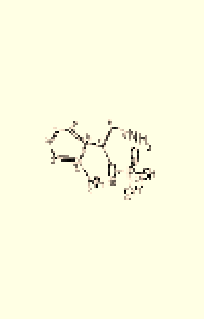 CCCc1ccccc1C(CN)OP(=O)(O)S